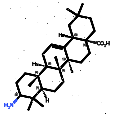 CC1(C)CC[C@]2(C(=O)O)CC[C@]3(C)C(=CC[C@@H]4[C@@]5(C)CC[C@H](N)C(C)(C)[C@@H]5CC[C@]43C)[C@@H]2C1